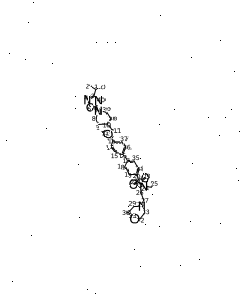 CC(C)c1noc(N2CCC(COc3ccc(-c4ccc(S(=O)(=O)N(C)CCN5CCOCC5)cc4)cc3)CC2)n1